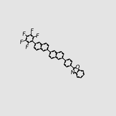 Fc1c(F)c(F)c(-c2ccc3cc(-c4ccc5cc(-c6ccc(-c7nc8ccccc8o7)cc6)ccc5c4)ccc3c2)c(F)c1F